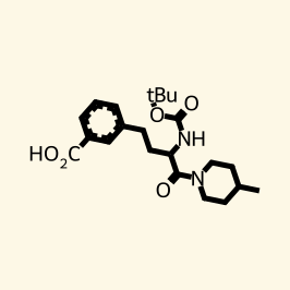 CC1CCN(C(=O)C(CCc2cccc(C(=O)O)c2)NC(=O)OC(C)(C)C)CC1